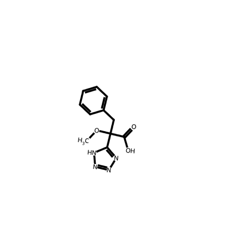 COC(Cc1ccccc1)(C(=O)O)c1nnn[nH]1